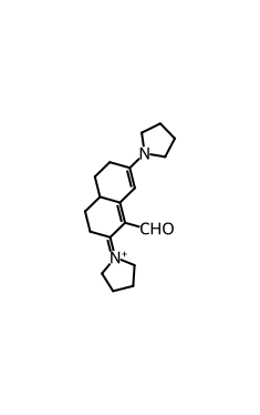 O=CC1=C2C=C(N3CCCC3)CCC2CCC1=[N+]1CCCC1